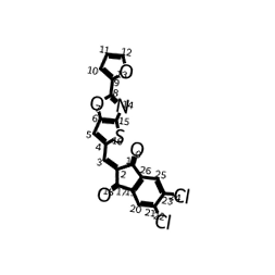 O=C1C(=Cc2cc3oc(-c4ccco4)nc3s2)C(=O)c2cc(Cl)c(Cl)cc21